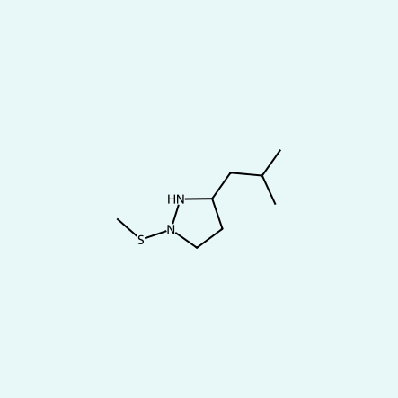 CSN1CCC(CC(C)C)N1